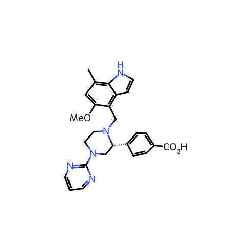 COc1cc(C)c2[nH]ccc2c1CN1CCN(c2ncccn2)C[C@H]1c1ccc(C(=O)O)cc1